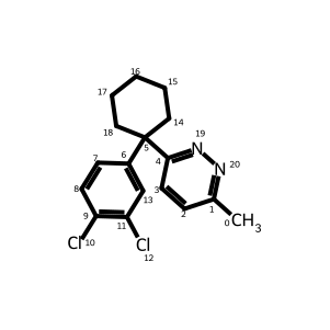 Cc1ccc(C2(c3ccc(Cl)c(Cl)c3)CCCCC2)nn1